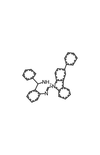 NC(c1ccccc1)c1ccccc1/N=C/n1c2ccccc2c2cc(-c3ccccc3)ccc21